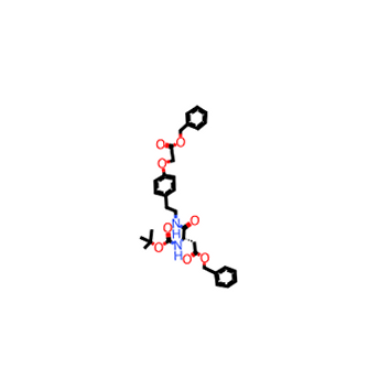 CC(C)(C)OC(=O)N[C@@H](CC(=O)OCc1ccccc1)C(=O)NCCc1ccc(OCC(=O)OCc2ccccc2)cc1